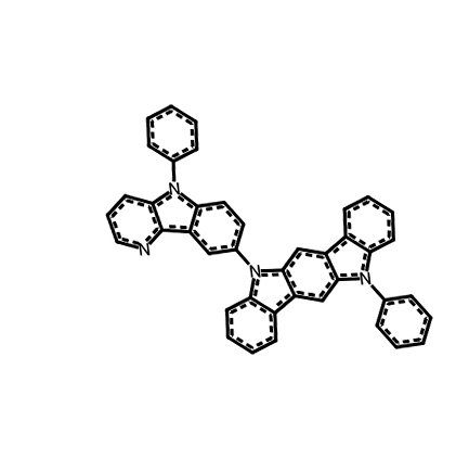 c1ccc(-n2c3ccccc3c3cc4c(cc32)c2ccccc2n4-c2ccc3c(c2)c2ncccc2n3-c2ccccc2)cc1